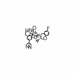 Cn1cc(-c2ccc3c(c2)CCC[C@@]32NC(=O)N(CC(=O)N3Cc4cc(F)ccc4OC[C@H]3C3CC3)C2=O)cn1